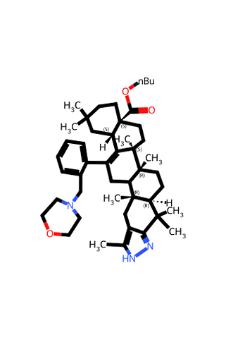 CCCCOC(=O)[C@]12CCC(C)(C)C[C@H]1C1=C(c3ccccc3CN3CCOCC3)CC3[C@@]4(C)Cc5c(n[nH]c5C)C(C)(C)[C@@H]4CC[C@@]3(C)[C@]1(C)CC2